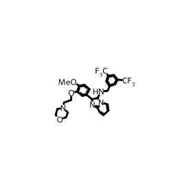 COc1ccc(C2N=C3C=CC=CN3C2NCc2cc(C(F)(F)F)cc(C(F)(F)F)c2)cc1OCCN1CCOCC1